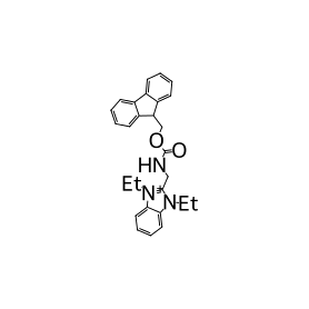 CCn1c(CNC(=O)OCC2c3ccccc3-c3ccccc32)[n+](CC)c2ccccc21